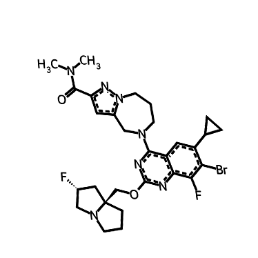 CN(C)C(=O)c1cc2n(n1)CCCN(c1nc(OC[C@@]34CCCN3C[C@H](F)C4)nc3c(F)c(Br)c(C4CC4)cc13)C2